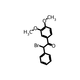 COc1ccc(C(=O)C(Br)c2ccccc2)cc1OC